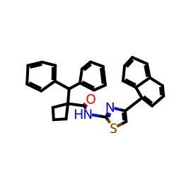 O=C(Nc1nc(-c2cccc3ccccc23)cs1)C1(C(c2ccccc2)c2ccccc2)CCC1